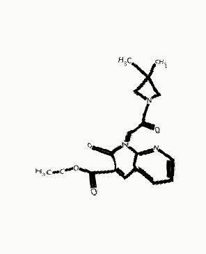 CCOC(=O)c1cc2cccnc2n(CC(=O)N2CC(C)(C)C2)c1=O